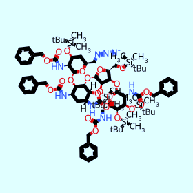 CC(C)(C)[Si](C)(C)OC[C@H]1O[C@@H](O[C@@H]2[C@H]3OC(=O)N[C@@H]3C[C@H](NC(=O)OCc3ccccc3)[C@H]2O[C@H]2O[C@H](CN=[N+]=[N-])C[C@H](O[Si](C)(C)C(C)(C)C)[C@H]2NC(=O)OCc2ccccc2)[C@H](O[Si](C)(C)C(C)(C)C)[C@@H]1O[C@H]1O[C@@H](CNC(=O)OCc2ccccc2)[C@@H](O[Si](C)(C)C(C)(C)C)[C@H](O[Si](C)(C)C(C)(C)C)[C@H]1NC(=O)OCc1ccccc1